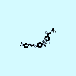 CC(=O)SCC(=O)c1ccc(NS(=O)(=O)c2ccc(OCCCN3CCC(N(C)C)C3)cc2)nc1